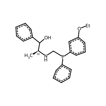 CCOc1cccc(P(CN[C@@H](C)C(O)c2ccccc2)c2ccccc2)c1